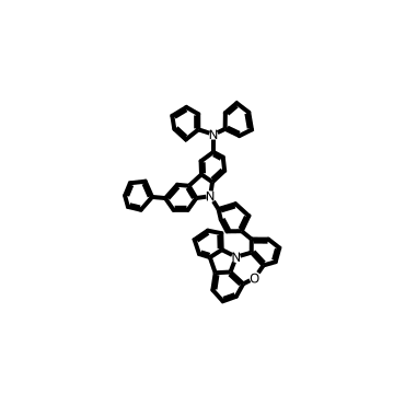 c1ccc(-c2ccc3c(c2)c2cc(N(c4ccccc4)c4ccccc4)ccc2n3-c2ccc(-c3cccc4c3-n3c5ccccc5c5cccc(c53)O4)cc2)cc1